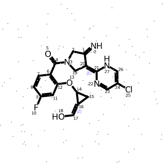 N=C1CN(C(=O)c2ccc(F)cc2OC2C/C2=C/O)C/C1=C1\N=CC(Cl)=CN1